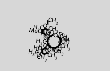 C=CCO[C@H]1[C@H](C)O[C@@H](O[C@H]2[C@H](C)[C@@H](O[C@@H]3O[C@H](C)C[C@H](N(C)C)[C@H]3O)[C@](C)(OC)C[C@@H](C)C(=O)[C@@H](C)[C@@H](O)[C@](C)(O)[C@@H](CC)OC(=O)[C@@H]2C)C[C@@]1(C)OC